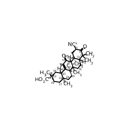 CC1(C)C(=O)C(C#N)C[C@]2(C)[C@H]3C(=O)C=C4[C@H]5C[C@@](C)(C(=O)O)CC[C@]5(C)CC[C@@]4(C)[C@]3(C)CC[C@@H]12